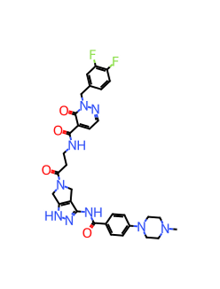 CN1CCN(c2ccc(C(=O)Nc3n[nH]c4c3CN(C(=O)CCNC(=O)c3ccnn(Cc5ccc(F)c(F)c5)c3=O)C4)cc2)CC1